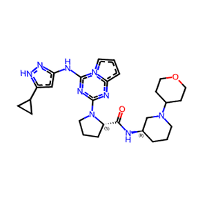 O=C(N[C@@H]1CCCN(C2CCOCC2)C1)[C@@H]1CCCN1c1nc(Nc2cc(C3CC3)[nH]n2)n2cccc2n1